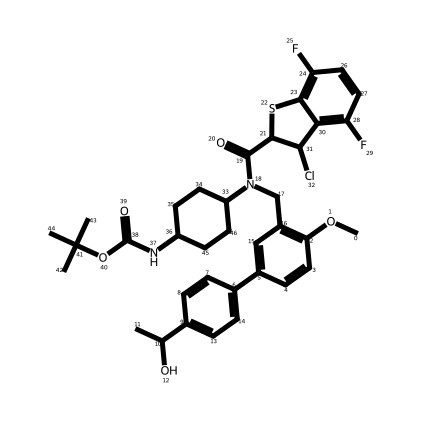 COc1ccc(-c2ccc(C(C)O)cc2)cc1CN(C(=O)C1Sc2c(F)ccc(F)c2C1Cl)C1CCC(NC(=O)OC(C)(C)C)CC1